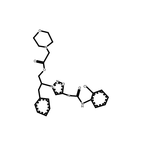 O=C([N-]c1c[n+](C(COC(=O)CN2CCOCC2)Cc2ccccc2)no1)Nc1ccccc1Cl